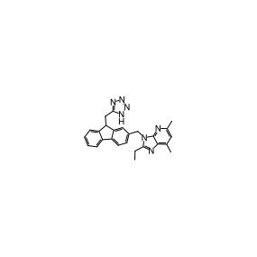 CCc1nc2c(C)cc(C)nc2n1Cc1ccc2c(c1)C(Cc1nnn[nH]1)c1ccccc1-2